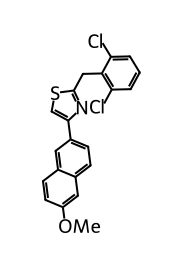 COc1ccc2cc(-c3csc(Cc4c(Cl)cccc4Cl)n3)ccc2c1